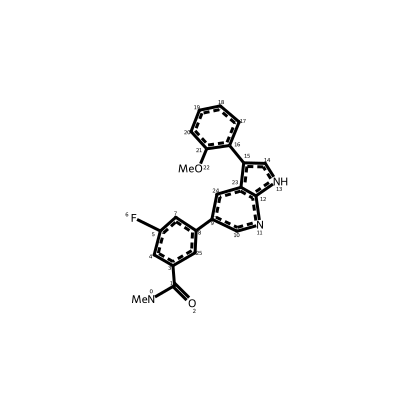 CNC(=O)c1cc(F)cc(-c2cnc3[nH]cc(-c4ccccc4OC)c3c2)c1